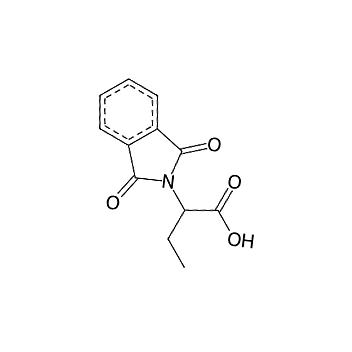 CCC(C(=O)O)N1C(=O)c2ccccc2C1=O